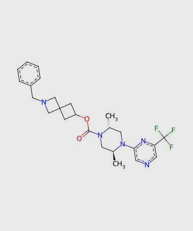 C[C@@H]1CN(c2cncc(C(F)(F)F)n2)[C@@H](C)CN1C(=O)OC1CC2(C1)CN(Cc1ccccc1)C2